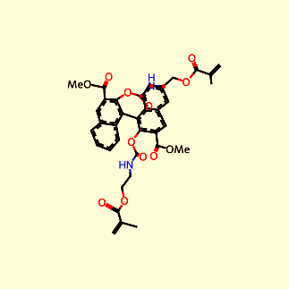 C=C(C)C(=O)OCCNC(=O)Oc1c(C(=O)OC)cc2ccccc2c1-c1c(OC(=O)NCCOC(=O)C(=C)C)c(C(=O)OC)cc2ccccc12